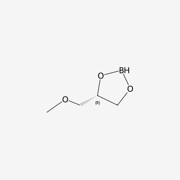 COC[C@H]1COBO1